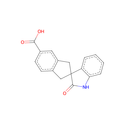 O=C(O)c1ccc2c(c1)CC1(C2)C(=O)Nc2ccccc21